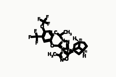 Cc1noc(N2C[C@H]3CC[C@@H](C2)C3Nc2nc(Oc3ccc(OC(F)(F)F)c(C(F)(F)F)c3)n(C(C)C)n2)n1